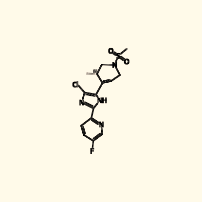 C[C@@H]1CN(S(C)(=O)=O)CC=C1c1[nH]c(-c2ccc(F)cn2)nc1Cl